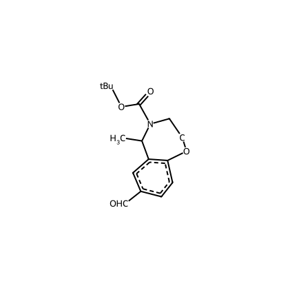 CC1c2cc(C=O)ccc2OCCN1C(=O)OC(C)(C)C